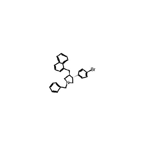 Brc1ccc([C@@H]2CN(Cc3ccccc3)C[C@H]2Cc2cccc3ccccc23)cc1